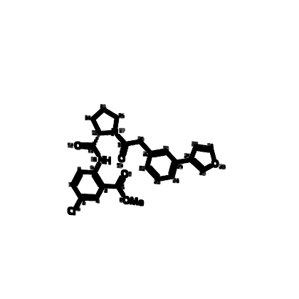 COC(=O)c1cc(Cl)ccc1NC(=O)[C@@H]1CCCN1C(=O)Cc1cccc(-c2ccoc2)c1